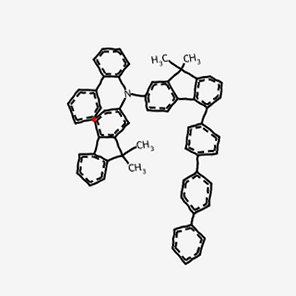 CC1(C)c2ccccc2-c2ccc(N(c3ccc4c(c3)C(C)(C)c3cccc(-c5ccc(-c6ccc(-c7ccccc7)cc6)cc5)c3-4)c3ccccc3-c3ccccc3)cc21